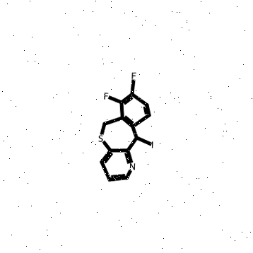 Fc1ccc2c(c1F)CSc1cccnc1C2I